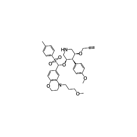 C#CCO[C@@H]1CNC[C@H](OC(c2ccc3c(c2)N(CCCOC)CCO3)S(=O)(=O)c2ccc(C)cc2)[C@@H]1c1ccc(OC)cc1